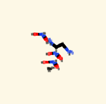 NCCN.O=N[O-].O=N[O-].O=N[O-].[Ru+3]